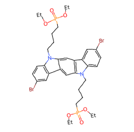 CCOP(=O)(CCCCn1c2ccc(Br)cc2c2cc3c(cc21)c1cc(Br)ccc1n3CCCCP(=O)(OCC)OCC)OCC